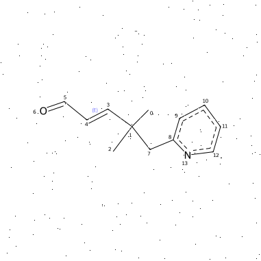 CC(C)(/C=C/C=O)Cc1ccccn1